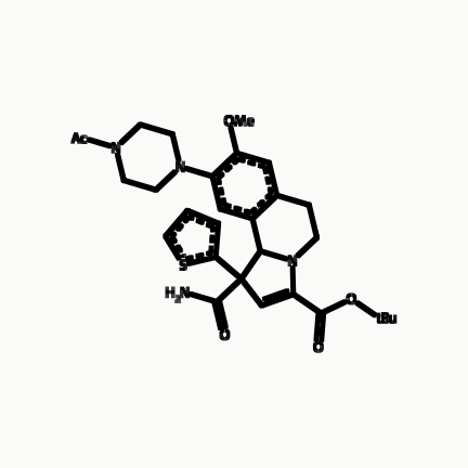 COc1cc2c(cc1N1CCN(C(C)=O)CC1)C1N(CC2)C(C(=O)OC(C)(C)C)=CC1(C(N)=O)c1cccs1